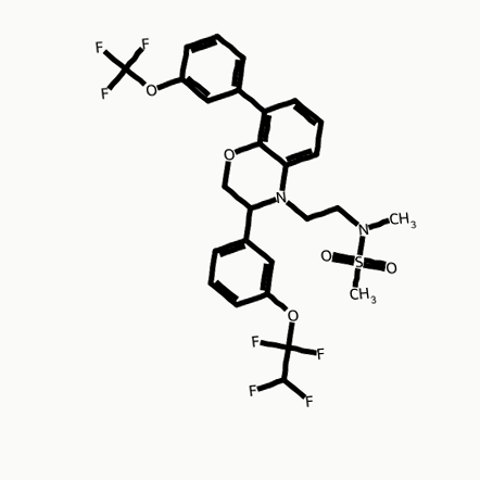 CN(CCN1c2cccc(-c3cccc(OC(F)(F)F)c3)c2OCC1c1cccc(OC(F)(F)C(F)F)c1)S(C)(=O)=O